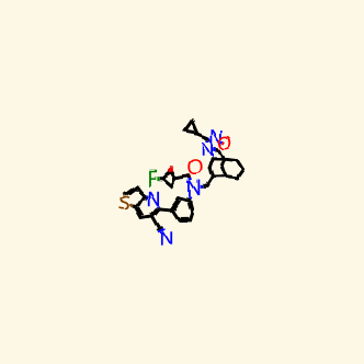 N#Cc1cc2sccc2nc1-c1cccc(N(CC2CCC3(c4nc(C5CC5)no4)CCCC2C3)C(=O)C23CC(F)(C2)C3)c1